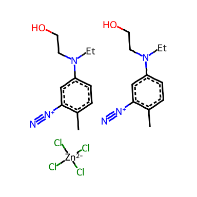 CCN(CCO)c1ccc(C)c([N+]#N)c1.CCN(CCO)c1ccc(C)c([N+]#N)c1.[Cl][Zn-2]([Cl])([Cl])[Cl]